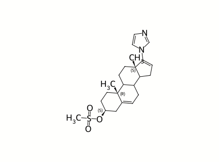 C[C@]12CC[C@H](OS(C)(=O)=O)CC1=CCC1C2CC[C@]2(C)C(n3ccnc3)=CCC12